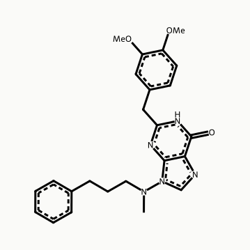 COc1ccc(Cc2nc3c(ncn3N(C)CCCc3ccccc3)c(=O)[nH]2)cc1OC